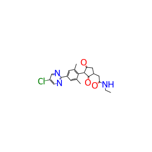 CCNC(=O)CC1CC(=O)C(c2c(C)cc(-c3ncc(Cl)cn3)cc2C)C1=O